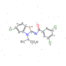 CCC(C(=O)O)n1/c(=N/C(=O)c2cc(Cl)cc(Cl)c2)sc2ccc(Cl)cc21